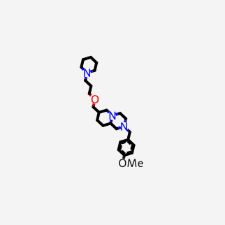 COc1ccc(CN2CCN3CC(COCCCN4CCCCC4)CCC3C2)cc1